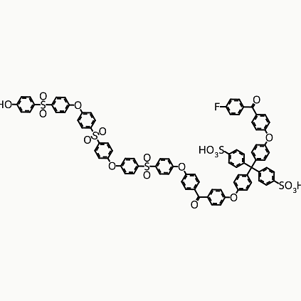 O=C(c1ccc(F)cc1)c1ccc(Oc2ccc(C(c3ccc(Oc4ccc(C(=O)c5ccc(Oc6ccc(S(=O)(=O)c7ccc(Oc8ccc(S(=O)(=O)c9ccc(Oc%10ccc(S(=O)(=O)c%11ccc(O)cc%11)cc%10)cc9)cc8)cc7)cc6)cc5)cc4)cc3)(c3ccc(S(=O)(=O)O)cc3)c3ccc(S(=O)(=O)O)cc3)cc2)cc1